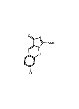 CSC1=NC(=O)C(=Cc2ccc(Cl)cc2Cl)N1